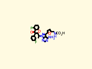 CC(c1oc2cccc(F)c2c(=O)c1-c1cccc(F)c1)n1nc(-c2ccc(CNC(=O)O)o2)c2c(N)ncnc21